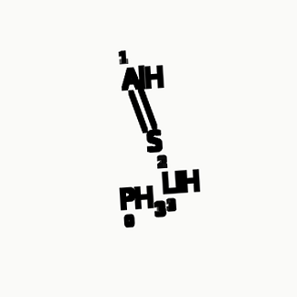 P.[AlH]=[S].[LiH]